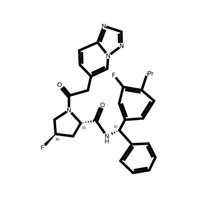 CC(C)c1ccc([C@@H](NC(=O)[C@@H]2C[C@@H](F)CN2C(=O)Cc2ccc3ncnn3c2)c2ccccc2)cc1F